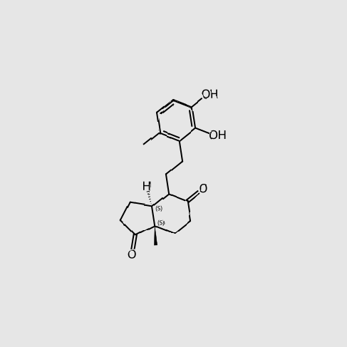 Cc1ccc(O)c(O)c1CCC1C(=O)CC[C@]2(C)C(=O)CC[C@@H]12